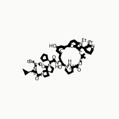 CCn1c(-c2cccnc2C(C)C)c2c3cc(ccc31)-c1cc(O)cc(c1)C[C@H](NC(=O)[C@H](C1CCCC1)N1CC[C@]3(CCN(C(=O)[C@H]4[C@@H](C5CC5)N4[S@+]([O-])C(C)(C)C)C3)C1=O)C(=O)N1CCC[C@H](N1)C(=O)OCC(C)(C)C2